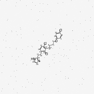 Clc1ccc(OCCCSc2c(Cl)ccc(CCc3ncc[nH]3)c2Cl)cc1